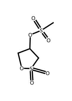 CS(=O)(=O)OC1COS(=O)(=O)C1